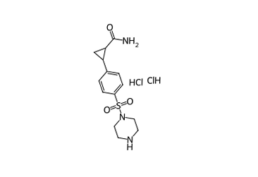 Cl.Cl.NC(=O)C1CC1c1ccc(S(=O)(=O)N2CCNCC2)cc1